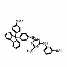 CNc1ccc(C2(c3ccc(Nc4nc(C)nc(Nc5cccc(NC)c5)n4)cc3)c3ccccc3-c3ccccc32)cc1